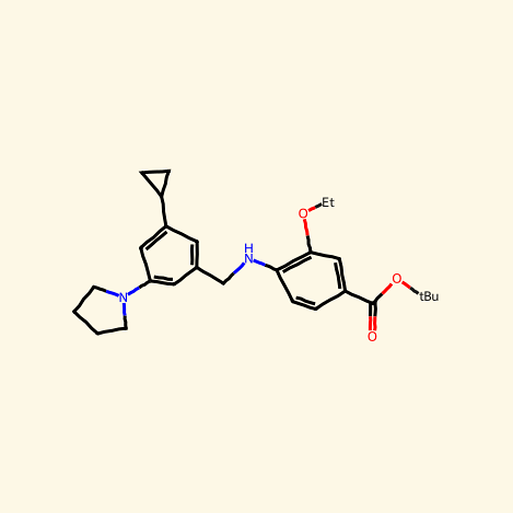 CCOc1cc(C(=O)OC(C)(C)C)ccc1NCc1cc(C2CC2)cc(N2CCCC2)c1